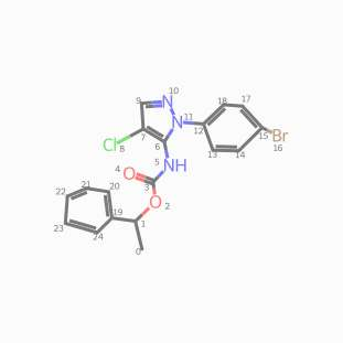 CC(OC(=O)Nc1c(Cl)cnn1-c1ccc(Br)cc1)c1ccccc1